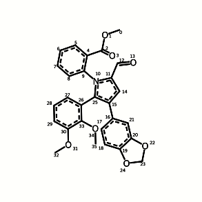 COC(=O)c1ccccc1-n1c(C=O)cc(-c2ccc3c(c2)OCO3)c1-c1cccc(OC)c1OC